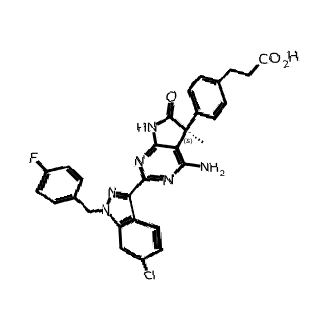 C[C@@]1(c2ccc(CCC(=O)O)cc2)C(=O)Nc2nc(-c3nn(Cc4ccc(F)cc4)c4cc(Cl)ccc34)nc(N)c21